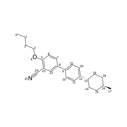 CCCCOc1ccc(-c2ccc([C@H]3CC[C@H](C)CC3)cc2)cc1C#N